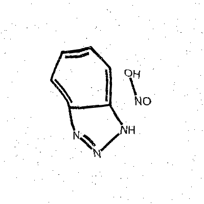 O=NO.c1ccc2[nH]nnc2c1